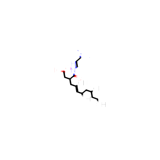 CCCC(C)CC(C)/C=C(\C)CC(CC(=O)O)C(=O)NCCCN